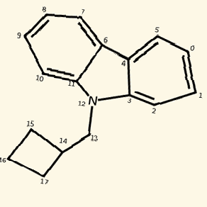 c1ccc2c(c1)c1ccccc1n2CC1CCC1